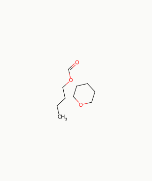 C1CCOCC1.CCCCOC=O